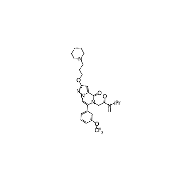 CC(C)NC(=O)Cn1c(-c2cccc(OC(F)(F)F)c2)cn2nc(OCCCN3CCCCC3)cc2c1=O